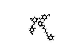 Clc1ccc(CO[C@H]2CNC[C@@H](OCc3ccc(Cl)cc3)[C@H]2c2ccc(OCCCOCc3ccccc3)cc2)cc1